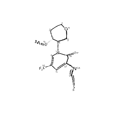 CO[C@@H]1CCOCC1n1cc(C(F)(F)F)cc(N=C=S)c1=O